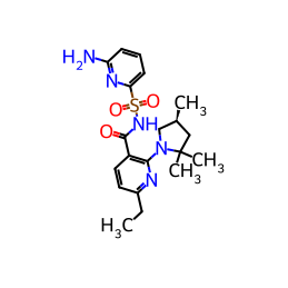 CCc1ccc(C(=O)NS(=O)(=O)c2cccc(N)n2)c(N2C[C@@H](C)CC2(C)C)n1